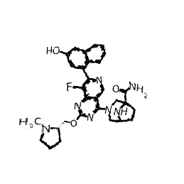 CN1CCC[C@H]1COc1nc(N2CC3CCC(C(N)=O)(C2)N3)c2cnc(-c3cc(O)cc4ccccc34)c(F)c2n1